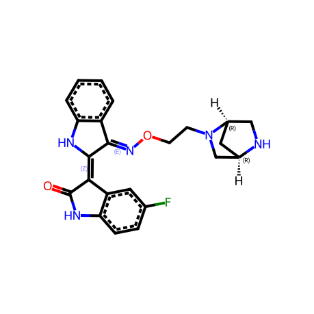 O=C1Nc2ccc(F)cc2/C1=C1/Nc2ccccc2/C1=N\OCCN1C[C@H]2C[C@@H]1CN2